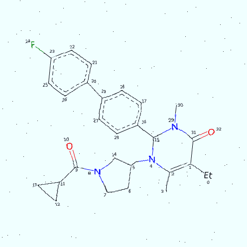 CCC1=C(C)N(C2CCN(C(=O)C3CC3)C2)C(c2ccc(-c3ccc(F)cc3)cc2)N(C)C1=O